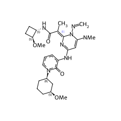 C=NN1C(NC)=CC(Nc2cccn([C@@H]3CCC[C@H](OC)C3)c2=O)=N/C1=C(/C)C(=O)N[C@H]1CC[C@@H]1OC